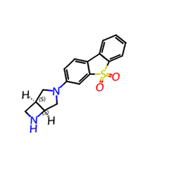 O=S1(=O)c2ccccc2-c2ccc(N3C[C@@H]4CN[C@@H]4C3)cc21